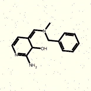 CN(C=C1C=CN=C(N)C1O)Cc1ccccc1